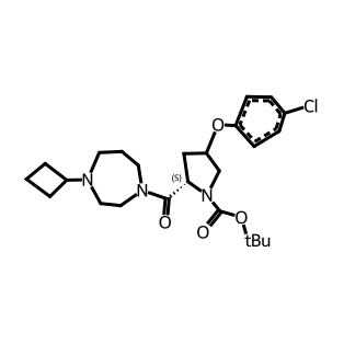 CC(C)(C)OC(=O)N1CC(Oc2ccc(Cl)cc2)C[C@H]1C(=O)N1CCCN(C2CCC2)CC1